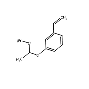 C=Cc1cccc(OC(C)OC(C)C)c1